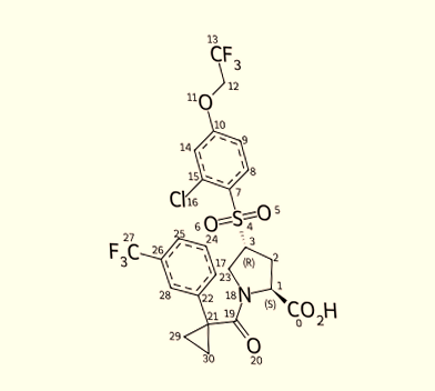 O=C(O)[C@@H]1C[C@@H](S(=O)(=O)c2ccc(OCC(F)(F)F)cc2Cl)CN1C(=O)C1(c2cccc(C(F)(F)F)c2)CC1